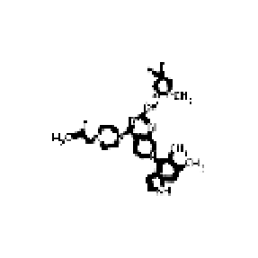 C=C(F)CN1CCN(c2nc(OC[C@@H]3CC(F)(F)CN3C)nc3c2CCN(c2c(C)c(C)cc4[nH]ccc24)C3)CC1